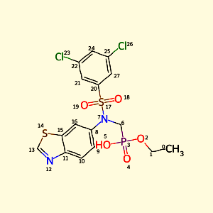 CCOP(=O)(O)CN(c1ccc2ncsc2c1)S(=O)(=O)c1cc(Cl)cc(Cl)c1